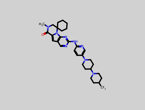 CN1CC2(CCCCC2)n2c(cc3cnc(Nc4ccc(N5CCC(N6CCC(C(F)(F)F)CC6)CC5)cn4)nc32)C1=O